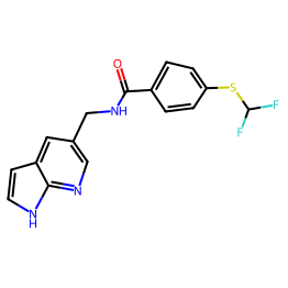 O=C(NCc1cnc2[nH]ccc2c1)c1ccc(SC(F)F)cc1